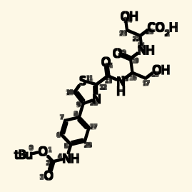 CC(C)(C)OC(=O)Nc1ccc(-c2csc(C(=O)NC(CO)C(=O)NC(CO)C(=O)O)n2)cc1